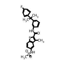 Cc1c(C(=O)Nc2cccc(C(C)(C)c3ccc(F)cc3)c2)sc2ccc(NS(C)(=O)=O)cc12